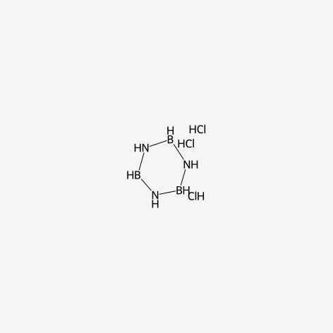 B1NBNBN1.Cl.Cl.Cl